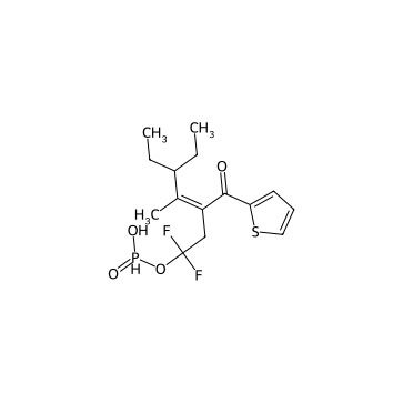 CCC(CC)C(C)=C(CC(F)(F)O[PH](=O)O)C(=O)c1cccs1